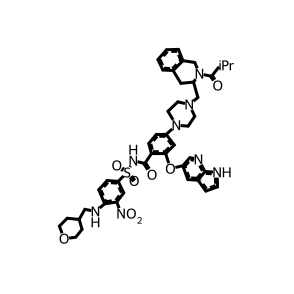 CC(C)C(=O)N1Cc2ccccc2CC1CN1CCN(c2ccc(C(=O)NS(=O)(=O)c3ccc(NCC4CCOCC4)c([N+](=O)[O-])c3)c(Oc3cnc4[nH]ccc4c3)c2)CC1